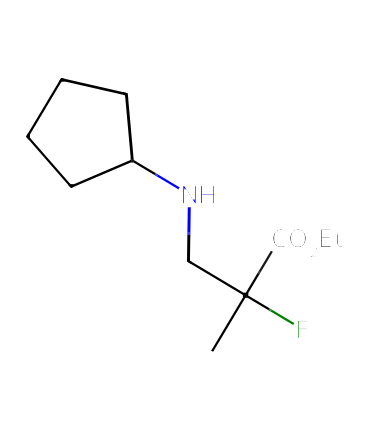 CCOC(=O)C(C)(F)CNC1CCCC1